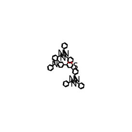 c1ccc(-c2nc(-c3ccccc3)nc(-c3ccc4sc5ccc(-c6ccc7c(c6)c6c(-c8nc(-c9ccccc9)nc(-c9ccccc9)n8)cccc6n7-c6ccccc6)cc5c4c3)n2)cc1